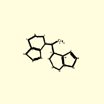 CC(C1CCCC2=C1C=CC2)C1CCCC2=C1C=CC2